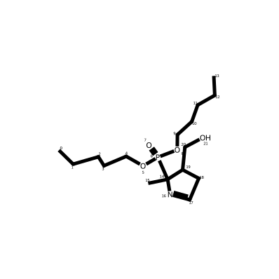 CCCCCOP(=O)(OCCCCC)C1(C)N=CCC1CO